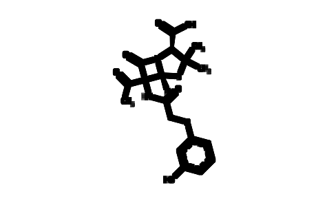 CC(=O)C1(NC(=O)COc2cccc(O)c2)C(=O)N2[C@@H](C(=O)O)C(C)(C)S[C@@H]21